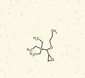 CCCOC(C1CO1)[Si](CC)(CC)CC